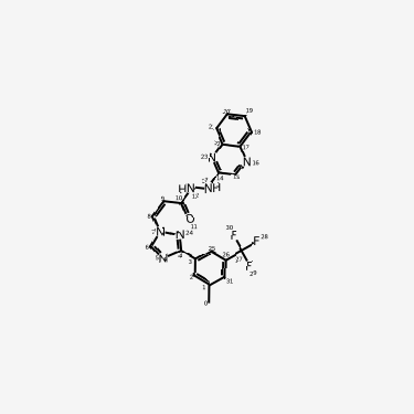 Cc1cc(-c2ncn(/C=C\C(=O)NNc3cnc4ccccc4n3)n2)cc(C(F)(F)F)c1